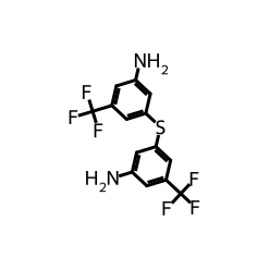 Nc1cc(Sc2cc(N)cc(C(F)(F)F)c2)cc(C(F)(F)F)c1